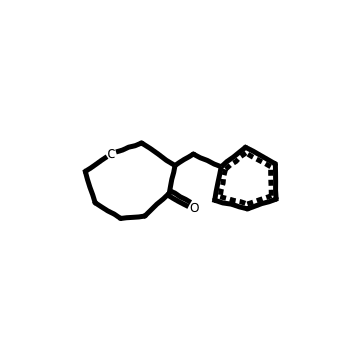 O=C1CCCCCCC1Cc1ccccc1